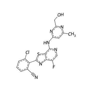 Cc1cc(Nc2ncc(F)c3nc(-c4c(Cl)cccc4C#N)sc23)nc(CO)n1